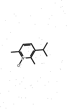 Cc1ccc(C(C)C)c(C)[n+]1[O-]